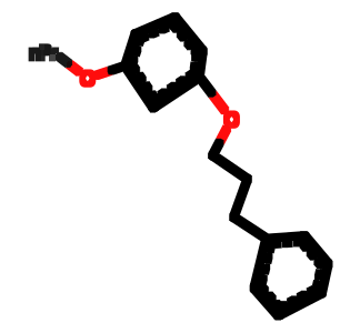 CCCOc1cccc(OCCCc2ccccc2)c1